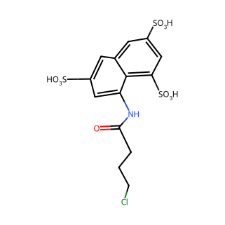 O=C(CCCCl)Nc1cc(S(=O)(=O)O)cc2cc(S(=O)(=O)O)cc(S(=O)(=O)O)c12